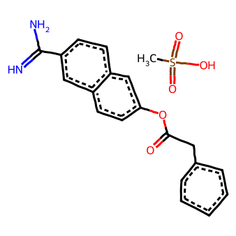 CS(=O)(=O)O.N=C(N)c1ccc2cc(OC(=O)Cc3ccccc3)ccc2c1